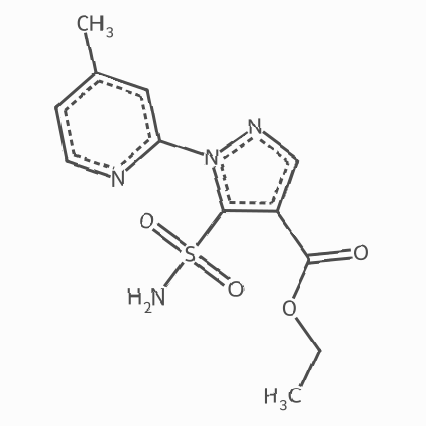 CCOC(=O)c1cnn(-c2cc(C)ccn2)c1S(N)(=O)=O